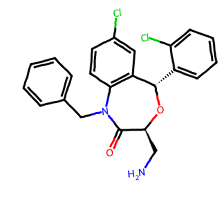 NC[C@@H]1O[C@@H](c2ccccc2Cl)c2cc(Cl)ccc2N(Cc2ccccc2)C1=O